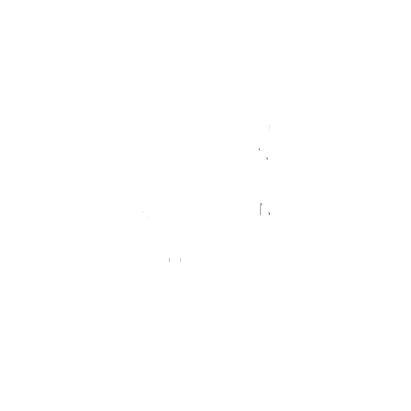 COc1cc2c(cc1OC)N=CN(Cl)C2